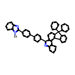 CCn1c(-c2ccc(-c3ccc(-c4nc5ccccc5c5c6c(ccc45)C(c4ccccc4)(c4ccccc4)c4ccccc4-6)cc3)cc2)nc2ccccc21